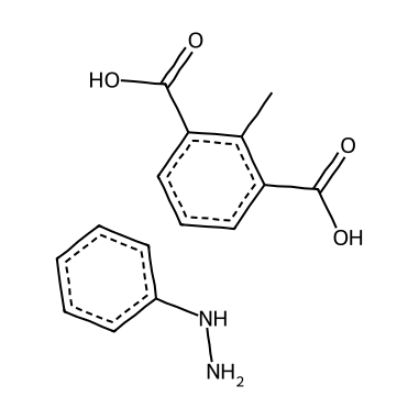 Cc1c(C(=O)O)cccc1C(=O)O.NNc1ccccc1